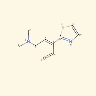 CN(C)C/C=C(\C=O)c1nccs1